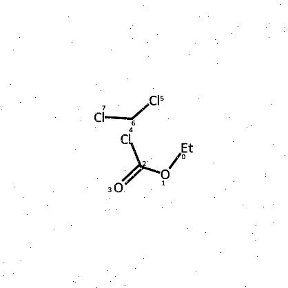 CCOC(=O)Cl.ClCCl